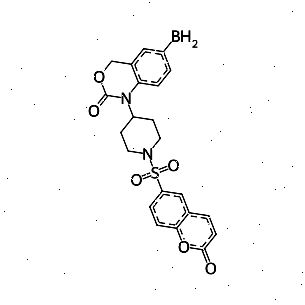 Bc1ccc2c(c1)COC(=O)N2C1CCN(S(=O)(=O)c2ccc3oc(=O)ccc3c2)CC1